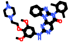 COc1cc(Nc2ncc3c(=O)n(-c4c(C)cccc4C)c4nc5ccccc5n4c3n2)cc(OC)c1OCCN1CCN(C)CC1